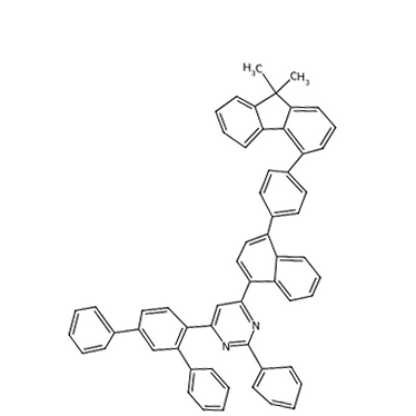 CC1(C)c2ccccc2-c2c(-c3ccc(-c4ccc(-c5cc(-c6ccc(-c7ccccc7)cc6-c6ccccc6)nc(-c6ccccc6)n5)c5ccccc45)cc3)cccc21